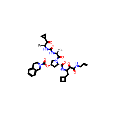 C=CCNC(=O)C(=O)C(CC1CCC1)NC(=O)[C@@H]1C[C@@H](OC(=O)N2CCc3ccccc3C2)CN1C(=O)[C@@H](NC(=O)N[C@H](C(=O)C1CC1)C(C)C)C(C)(C)C